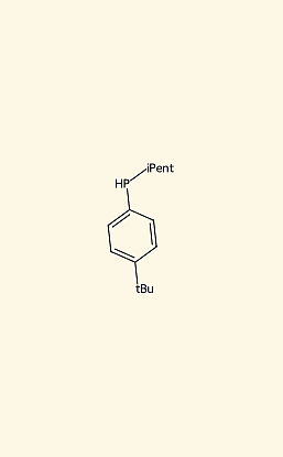 CCCC(C)Pc1ccc(C(C)(C)C)cc1